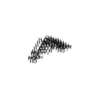 C=C(C)C(=O)O.C=C(C)C(=O)O.C=C(C)C(=O)O.C=C(C)C(=O)O.C=C(C)C(=O)O.C=C(C)C(=O)O.C=C(C)C(=O)O.C=C(C)C(=O)O.C=C(C)C(=O)O.C=C(C)C(=O)O.OCC(CO)(CO)CO.OCC(CO)(CO)CO.OCC(CO)(CO)CO